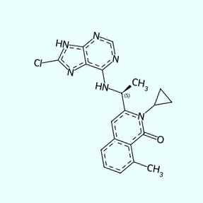 Cc1cccc2cc([C@H](C)Nc3ncnc4[nH]c(Cl)nc34)n(C3CC3)c(=O)c12